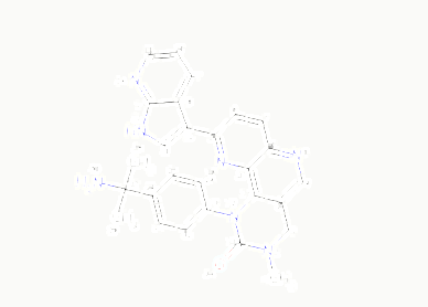 CN1Cc2cnc3ccc(-c4c[nH]c5ncccc45)nc3c2N(c2ccc(C(C)(C)N)cc2)C1=O